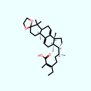 CCC(CC[C@@H](C)[C@H]1CC[C@@]2(C)C3=CCC4C(C)(C)C5(CC[C@]4(C)C3=CC[C@]12C)OCCO5)=C(C)C(=O)O